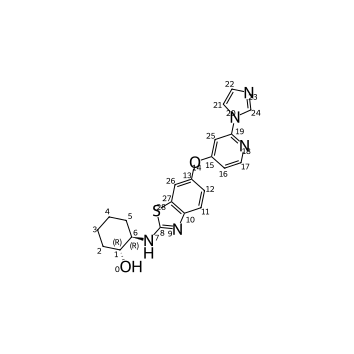 O[C@@H]1CCCC[C@H]1Nc1nc2ccc(Oc3ccnc(-n4ccnc4)c3)cc2s1